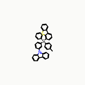 Cc1ccc([Si](c2ccccc2)(c2cccc(-n3c4ccccc4c4ccccc43)c2)c2cccc3c2sc2ccccc23)cc1